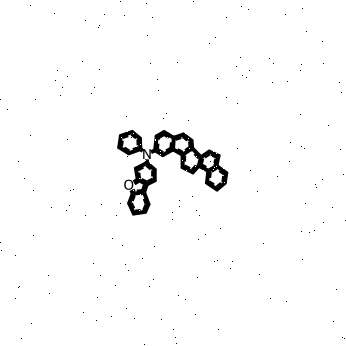 c1ccc(N(c2ccc3c(c2)oc2ccccc23)c2ccc3ccc4c(ccc5c6ccccc6ccc54)c3c2)cc1